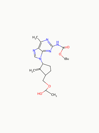 C=C1C(COC(C)O)CCC1n1cnc2c(C)nc(NC(=O)OC(C)(C)C)nc21